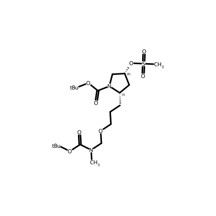 CN(COCCC[C@H]1C[C@@H](OS(C)(=O)=O)CN1C(=O)OC(C)(C)C)C(=O)OC(C)(C)C